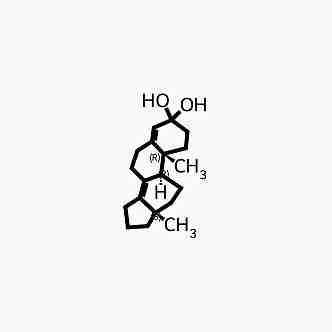 C[C@@]12CCCC1=C1CCC3=CC(O)(O)CC[C@]3(C)[C@H]1CC2